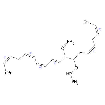 CC/C=C\C/C=C\CC(OPP)C(/C=C/C=C\C=C/C/C=C\CCC)OP